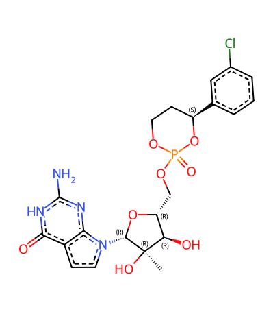 C[C@@]1(O)[C@H](O)[C@@H](COP2(=O)OCC[C@@H](c3cccc(Cl)c3)O2)O[C@H]1n1ccc2c(=O)[nH]c(N)nc21